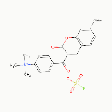 COc1ccc2cc(C(=O)c3ccc([N+](C)(C)C)cc3)c(=O)oc2c1.O=S(=O)([O-])F